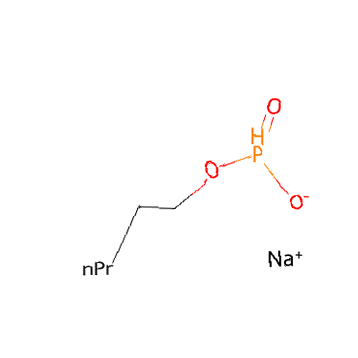 CCCCCO[PH](=O)[O-].[Na+]